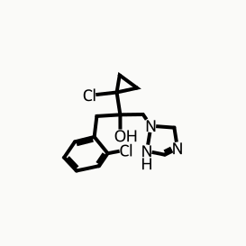 OC(Cc1ccccc1Cl)(CN1CN=CN1)C1(Cl)CC1